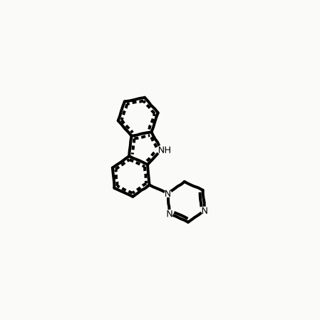 C1=NC=NN(c2cccc3c2[nH]c2ccccc23)C1